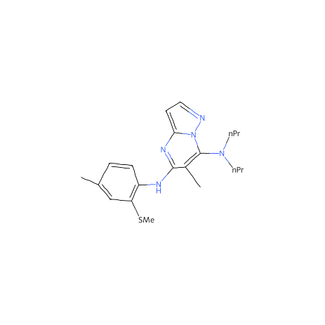 CCCN(CCC)c1c(C)c(Nc2ccc(C)cc2SC)nc2ccnn12